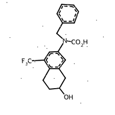 O=C(O)N(Cc1ccccc1)c1cc2c(c(C(F)(F)F)c1)CCC(O)C2